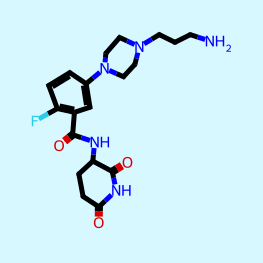 NCCCN1CCN(c2ccc(F)c(C(=O)NC3CCC(=O)NC3=O)c2)CC1